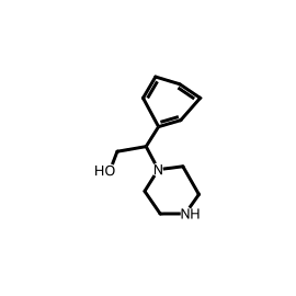 OCC(c1ccccc1)N1CCNCC1